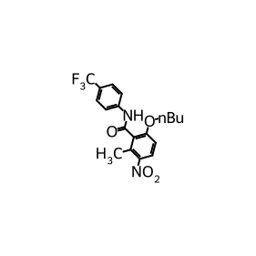 CCCCOc1ccc([N+](=O)[O-])c(C)c1C(=O)Nc1ccc(C(F)(F)F)cc1